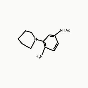 CC(=O)Nc1ccc(N)c(N2CCCCC2)c1